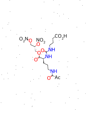 CC(=O)C(=O)NCCC[C@H](NC(=O)NCCCC(=O)O)C(=O)OC[C@H](CO[N+](=O)[O-])O[N+](=O)[O-]